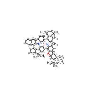 Cc1cc2c(cc1N1B3c4c(cc5c(c4-n4c6cc7ccccc7cc6c6cccc3c64)-c3ccccc3C5(C)C)-c3c1ccc1c3oc3cc4c(cc31)C(C)(C)CCC4(C)C)C(C)(C)CCC2(C)C